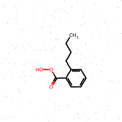 CCCCc1ccccc1C(=O)OO